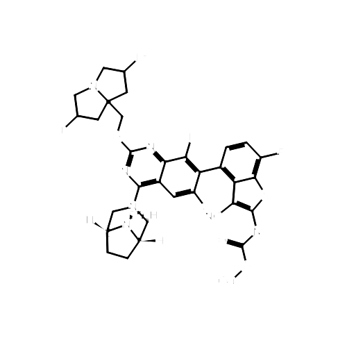 CCC1CN2CC(CC)CC2(COc2nc(N3C[C@H]4CC[C@@H](C3)N4C(=O)O)c3cc(Cl)c(-c4ccc(F)c5sc(NC(=O)OC(C)(C)C)c(C#N)c45)c(F)c3n2)C1